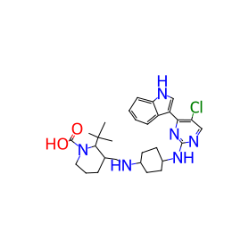 CC(C)(C)C1C(CNC2CCC(Nc3ncc(Cl)c(-c4c[nH]c5ccccc45)n3)CC2)CCCN1C(=O)O